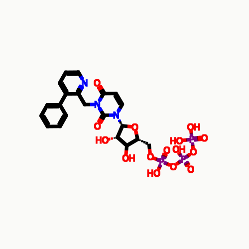 O=c1ccn([C@@H]2O[C@H](COP(=O)(O)OP(=O)(O)OP(=O)(O)O)C(O)[C@@H]2O)c(=O)n1Cc1ncccc1-c1ccccc1